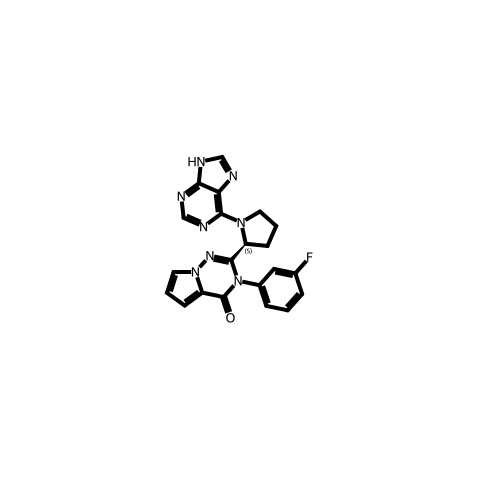 O=c1c2cccn2nc([C@@H]2CCCN2c2ncnc3[nH]cnc23)n1-c1cccc(F)c1